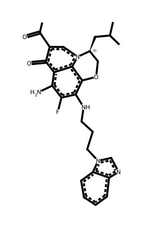 CC(=O)c1cn2c3c(c(NCCCn4cnc5ccccc54)c(F)c(N)c3c1=O)OC[C@@H]2CC(C)C